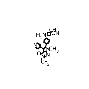 Cn1c(-c2ccc([C@]3(N)C[C@](C)(O)C3)cc2)c(-c2ccncc2)c2c(=O)n(CC(F)(F)F)cnc21